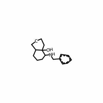 OC12CCCCC1CCCC2NCc1ccccc1